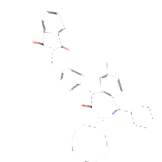 Cc1ccc2c(c1)N(c1ccc(CN3C(=O)c4ccccc4C3=O)cc1)C(=O)N(C1CCCCCCCCC1)N=C2C1CCCCC1